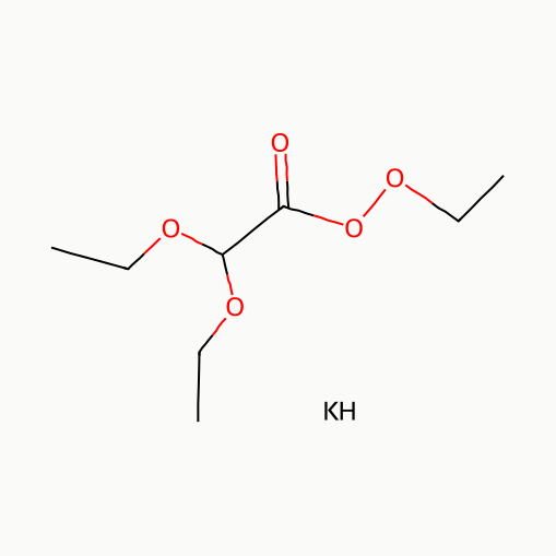 CCOOC(=O)C(OCC)OCC.[KH]